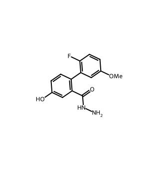 COc1ccc(F)c(-c2ccc(O)cc2C(=O)NN)c1